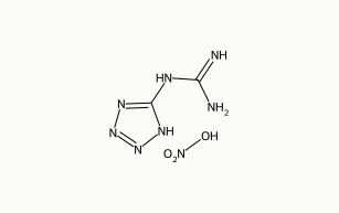 N=C(N)Nc1nnn[nH]1.O=[N+]([O-])O